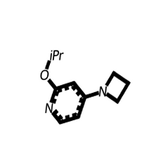 CC(C)Oc1cc(N2CCC2)ccn1